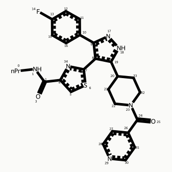 CCCNC(=O)c1csc(-c2c(-c3ccc(F)cc3)n[nH]c2C2CCN(C(=O)c3ccncc3)CC2)n1